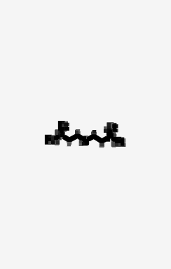 CCP(CC)CCSCCP(CC)CC